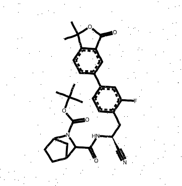 CC(C)(C)OC(=O)N1C2CCC(C2)C1C(=O)N[C@H](C#N)Cc1ccc(-c2ccc3c(c2)C(=O)OC3(C)C)cc1F